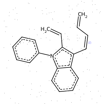 C=C/C=C\c1c(C=C)n(-c2ccccc2)c2ccccc12